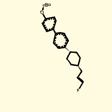 CCCCOc1ccc(-c2ccc([C@H]3CC[C@H](CC=CF)CC3)cc2)cc1